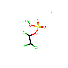 O=S(=O)(OCl)OC(Cl)C(Cl)Cl